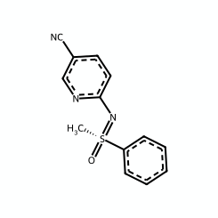 C[S@](=O)(=Nc1ccc(C#N)cn1)c1ccccc1